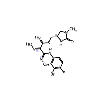 CN1C[C@@H](CSC(=N)C(=N\O)/C(=N/O)Nc2ccc(F)c(Br)c2)NC1=O